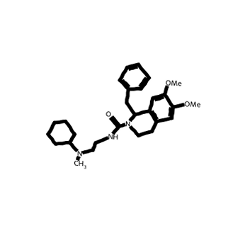 COc1cc2c(cc1OC)C(Cc1ccccc1)N(C(=O)NCCN(C)C1CCCCC1)CC2